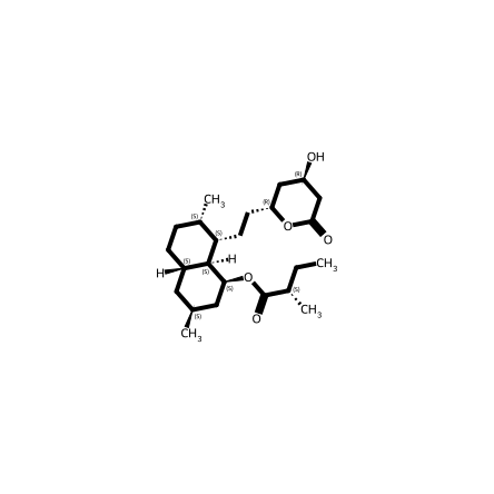 CC[C@H](C)C(=O)O[C@H]1C[C@@H](C)C[C@@H]2CC[C@H](C)[C@H](CC[C@@H]3C[C@@H](O)CC(=O)O3)[C@H]21